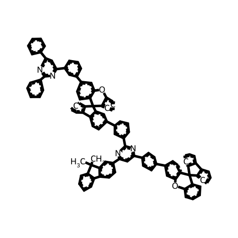 CC1(C)c2ccccc2-c2ccc(-c3cc(-c4ccc(-c5ccc6c(c5)Oc5ccccc5C65c6ccccc6-c6ccccc65)cc4)nc(-c4cccc(-c5ccc6c(c5)C5(c7ccccc7Oc7cc(-c8cccc(-c9cc(-c%10ccccc%10)nc(-c%10ccccc%10)n9)c8)ccc75)c5ccccc5-6)c4)n3)cc21